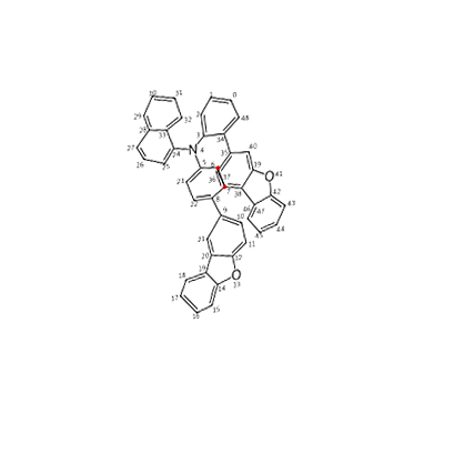 c1ccc(N(c2ccc(-c3ccc4oc5ccccc5c4c3)cc2)c2cccc3ccccc23)c(-c2ccc3c(c2)oc2ccccc23)c1